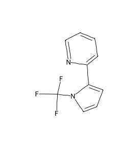 FC(F)(F)n1cccc1-c1ccccn1